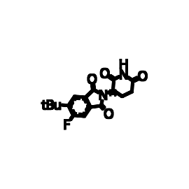 CC(C)(C)c1cc2c(cc1F)C(=O)N([C@@H]1CCC(=O)NC1=O)C2=O